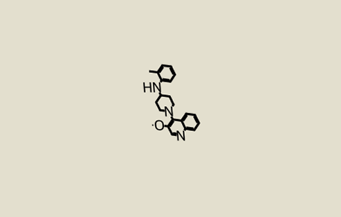 Cc1ccccc1NC1CCN(c2c([O])cnc3ccccc23)CC1